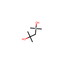 CC(C)(O)C[Si](C)(C)O